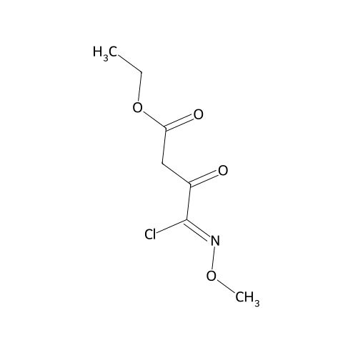 CCOC(=O)CC(=O)C(Cl)=NOC